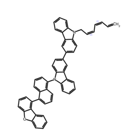 C=C/C=C\C=C/Cn1c2ccccc2c2cc(-c3ccc4c(c3)c3ccccc3n4-c3cccc4c(-c5cccc6oc7ccccc7c56)cccc34)ccc21